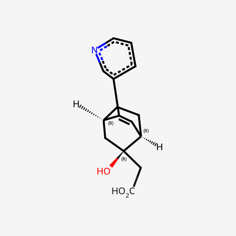 O=C(O)C[C@]1(O)C[C@H]2CC[C@@H]1C=C2c1cccnc1